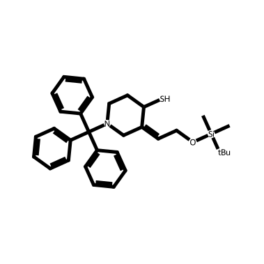 CC(C)(C)[Si](C)(C)OC/C=C1/CN(C(c2ccccc2)(c2ccccc2)c2ccccc2)CCC1S